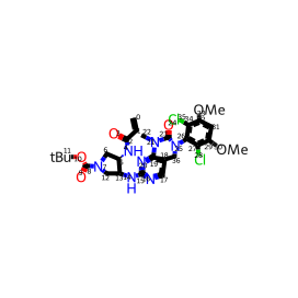 C=CC(=O)N[C@H]1CN(C(=O)OC(C)(C)C)CC1Nc1ncc2c(n1)N(C)C(=O)N(c1c(Cl)c(OC)cc(OC)c1Cl)C2